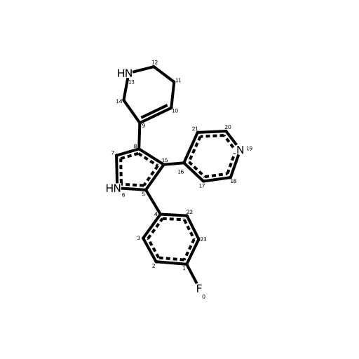 Fc1ccc(-c2[nH]cc(C3=CCCNC3)c2-c2ccncc2)cc1